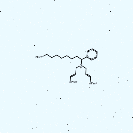 CCCCCC=CC[SiH](CC=CCCCCC)C(CCCCCCCCCCCCCCCCC)c1ccccc1